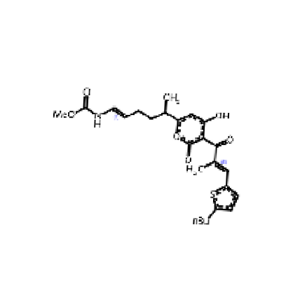 CCCCc1ccc(/C=C(\C)C(=O)c2c(O)cc(C(C)CC/C=C/NC(=O)OC)oc2=O)s1